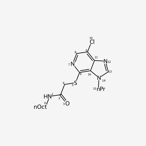 CCCCCCCCNC(=O)CSc1ncc(Cl)c2ncn(CCC)c12